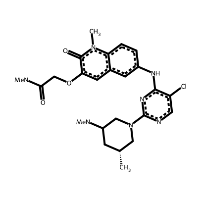 CNC(=O)COc1cc2cc(Nc3nc(N4CC(NC)C[C@@H](C)C4)ncc3Cl)ccc2n(C)c1=O